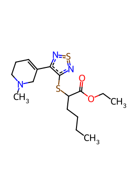 CCCCC(Sc1nsnc1C1=CCCN(C)C1)C(=O)OCC